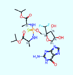 CC(C)OC(=O)[C@H](C)NP(=S)(N[C@@H](C)C(=O)OC(C)C)OC[C@@]1(C(F)F)O[C@@H](n2cnc3c(=O)[nH]c(N)nc32)[C@H](O)[C@H]1O